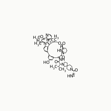 CCn1c(-c2cccnc2[C@H](C)OC)c2c3cc(ccc31)-c1cc(O)cc(c1)C[C@H](NC(=O)C(C(C)C)N1CCC3(CCN(C(=O)[C@@H]4CN4)CC3)C1)C(=O)N1CCC[C@H](N1)C(=O)OCC(C)(C)C2